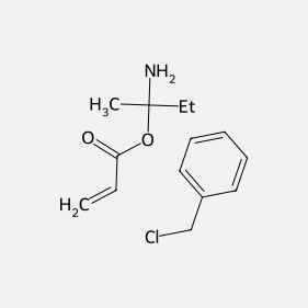 C=CC(=O)OC(C)(N)CC.ClCc1ccccc1